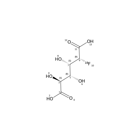 O=C(O)[C@@H](O)[C@@H](O)[C@H](O)[C@@H]([18F])C(=O)O